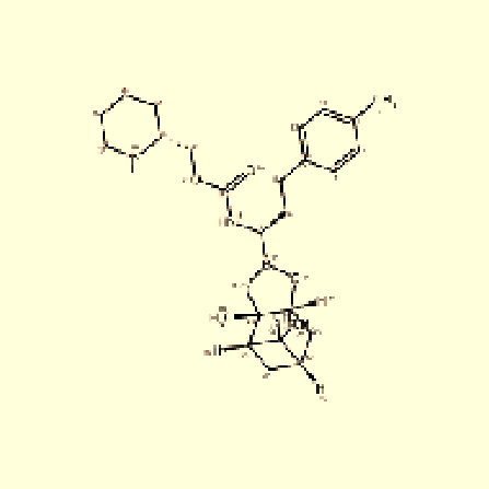 Cc1ccc(CC[C@H](NC(=O)OC[C@H]2CCCCN2)B2O[C@@H]3C[C@@H]4C[C@@H](C4(C)C)[C@]3(C)O2)cc1